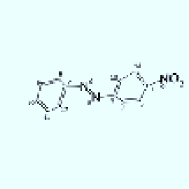 O=[N+]([O-])c1ccc(/N=N/c2[c]cccc2)cc1